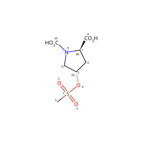 CS(=O)(=O)O[C@H]1C[C@H](C(=O)O)N(C(=O)O)C1